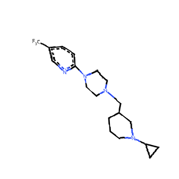 FC(F)(F)c1ccc(N2CCN(CC3CCCN(C4CC4)C3)CC2)nc1